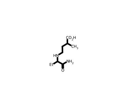 CCC(NCCC(C)C(=O)O)C(N)=O